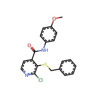 COc1ccc(NC(=O)c2ccnc(Cl)c2SCc2ccccc2)cc1